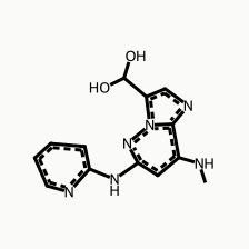 CNc1cc(Nc2ccccn2)nn2c(C(O)O)cnc12